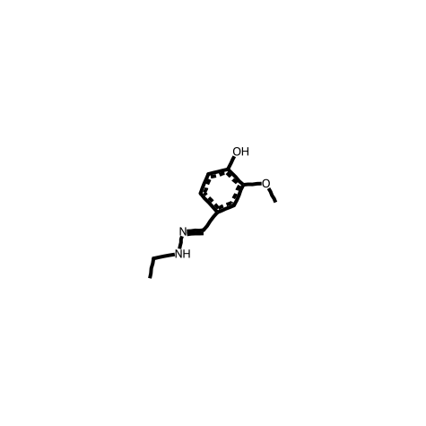 CCNN=Cc1ccc(O)c(OC)c1